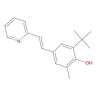 Cc1cc(C=Cc2ccccn2)cc(C(C)(C)C)c1O